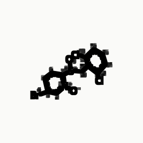 [O-][n+]1cc(Br)ccc1[S+]([O-])Cc1c(Cl)cccc1Cl